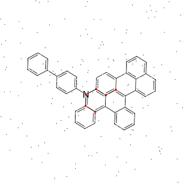 c1ccc(-c2ccc(N(c3ccccc3)c3ccc(-c4cccc5cccc(-c6cc7ccccc7c7ccccc67)c45)cc3)cc2)cc1